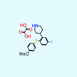 COc1ccc(Sc2ccc(F)cc2C2CCNCC2)cc1.O=C(O)C(=O)O